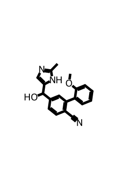 COc1ccccc1-c1cc(C(O)c2cnc(C)[nH]2)ccc1C#N